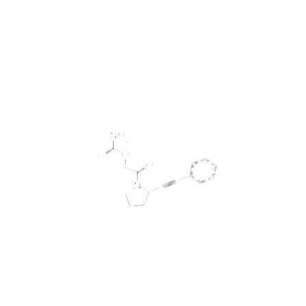 NC(=O)OCC(=O)N1CCCC1C#Cc1ccccc1